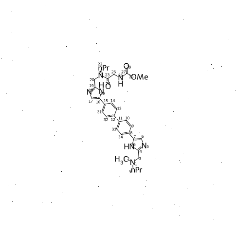 CCCN(C)Cc1ncc(-c2ccc(-c3ccc(-c4cnc(CN(CCC)C(=O)CNC(=O)OC)[nH]4)cc3)cc2)[nH]1